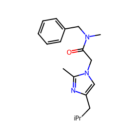 Cc1nc(CC(C)C)cn1CC(=O)N(C)Cc1ccccc1